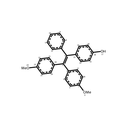 COc1ccc(C(=C(c2ccccc2)c2ccc(O)cc2)c2ccc(OC)cc2)cc1